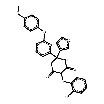 COc1ccc(Oc2cccc(C3(c4ccsc4)CC(=O)C(Sc4ccccc4Cl)C(=O)N3)n2)cc1